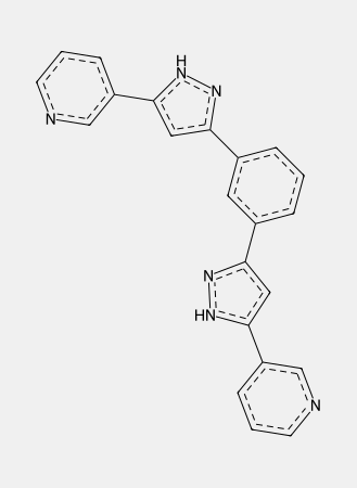 c1cc(-c2cc(-c3cccnc3)[nH]n2)cc(-c2cc(-c3cccnc3)[nH]n2)c1